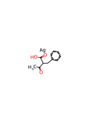 CC(=O)C(Cc1ccccc1)C(=O)O.[Ag]